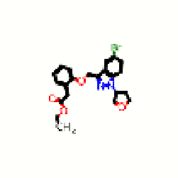 CCOC(=O)Cc1ccccc1OCc1nn(C2CCOC2)c2ccc(Br)cc12